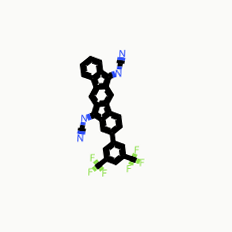 N#C/N=c1\c2ccccc2c2cc3/c(=N/C#N)c4cc(-c5cc(C(F)(F)F)cc(C(F)(F)F)c5)ccc4c3cc12